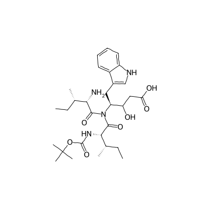 CC[C@H](C)[C@H](N)C(=O)N(C(=O)[C@@H](NC(=O)OC(C)(C)C)[C@@H](C)CC)[C@@H](Cc1c[nH]c2ccccc12)C(O)CC(=O)O